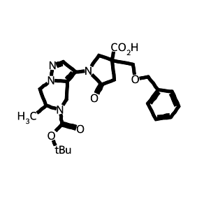 CC1Cn2ncc(N3CC(COCc4ccccc4)(C(=O)O)CC3=O)c2CN1C(=O)OC(C)(C)C